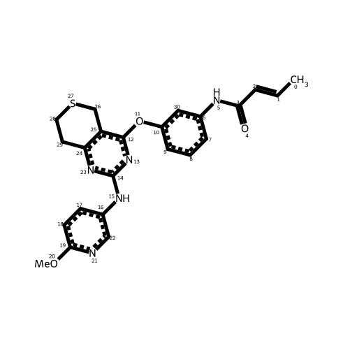 C/C=C/C(=O)Nc1cccc(Oc2nc(Nc3ccc(OC)nc3)nc3c2CSCC3)c1